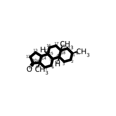 C[C@H]1CC[C@@H]2C3CC[C@]4(C)C(=O)CCC4[C@@H]3CC[C@]2(C)C1